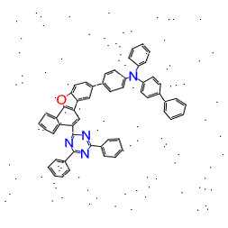 c1ccc(-c2ccc(N(c3ccccc3)c3ccc(-c4ccc5oc6c7ccccc7c(-c7nc(-c8ccccc8)nc(-c8ccccc8)n7)cc6c5c4)cc3)cc2)cc1